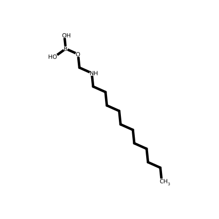 CCCCCCCCCCCNCOB(O)O